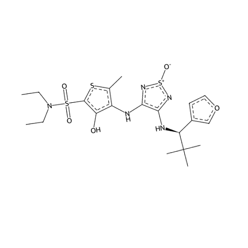 CCN(CC)S(=O)(=O)c1sc(C)c(Nc2n[s+]([O-])nc2N[C@@H](c2ccoc2)C(C)(C)C)c1O